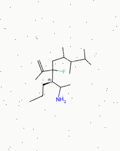 C=C(C)C(F)(CC(C)C(C)C(C)C)[C@H](CCC)C(C)N